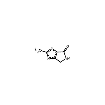 Cc1nc2c(s1)C(=O)NC2